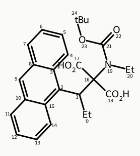 CCC(c1c2ccccc2cc2ccccc12)C(C(=O)O)(C(=O)O)N(CC)C(=O)OC(C)(C)C